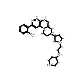 Oc1ccccc1-c1cc2c(nn1)NCC1CN(C3CCN(CCOC4CCNCC4)C3)CCN21